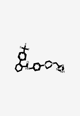 O=C(Nc1ccc(N2CCN(Cc3nc[nH]n3)CC2)cc1)C1=C(c2ccc(C(F)(F)F)cc2)CCCC1